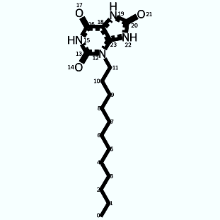 CCCCCCCCCCCCn1c(=O)[nH]c(=O)c2[nH]c(=O)[nH]c21